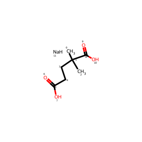 CC(C)(CCC(=O)O)C(=O)O.[NaH]